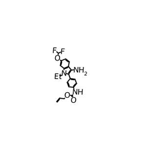 C=CCOC(=O)Nc1ccc(-c2c(N)c3ccc(OC(F)F)cc3n2CC)cc1